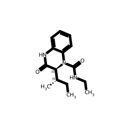 CCNC(=O)N1c2ccccc2NC(=O)[C@@H]1[C@@H](C)CC